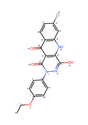 CCOc1ccc(-n2nc(O)c3[nH]c4cc(Cl)ccc4c(=O)c3c2=O)cc1